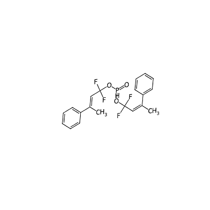 CC(=CC(F)(F)O[PH](=O)OC(F)(F)C=C(C)c1ccccc1)c1ccccc1